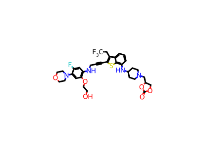 O=C1OCC(CN2CCC(Nc3cccc4c(CC(F)(F)F)c(C#CCNc5cc(F)c(N6CCOCC6)cc5OCCO)sc34)CC2)O1